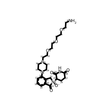 NCCOCCOCCOCCN1CCN(c2cccc3c2C[N+]([O-])(C2CCC(=O)NC2=O)C3=O)CC1